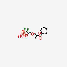 C=C(COCCC(F)(F)S(=O)(=O)O)C(=O)OC1(C)CCCCCCC1